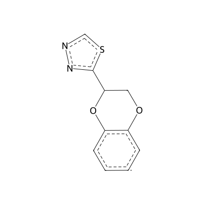 [c]1ccc2c(c1)OCC(c1nncs1)O2